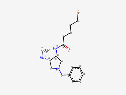 O=C(O)N[C@H]1CN(Cc2ccccc2)C[C@@H]1NC(=O)CCCCBr